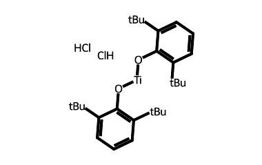 CC(C)(C)c1cccc(C(C)(C)C)c1[O][Ti][O]c1c(C(C)(C)C)cccc1C(C)(C)C.Cl.Cl